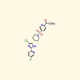 COC(=O)c1ccc(S(=O)(=O)N2CC[C@@H](c3[nH]c(-c4ccc(F)cn4)nc3Cl)[C@@H](C)C2)cn1